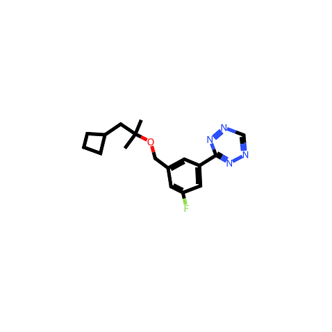 CC(C)(CC1CCC1)OCc1cc(F)cc(-c2nncnn2)c1